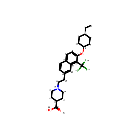 CC[C@H]1CC[C@@H](Oc2ccc3ccc(CCN4CCC(C(=O)O)CC4)cc3c2C(F)(F)F)CC1